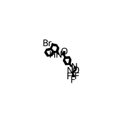 O=C(Nc1ccc(Br)c2ccccc12)c1ccc(-c2noc(C(F)(F)F)n2)cc1